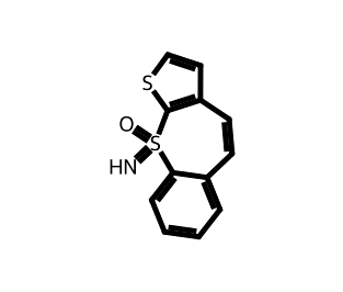 N=S1(=O)c2ccccc2C=Cc2ccsc21